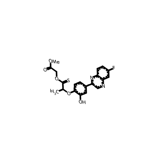 COC(=O)COC(=S)C(C)Oc1ccc(-c2cnc3cc(F)ccc3n2)cc1O